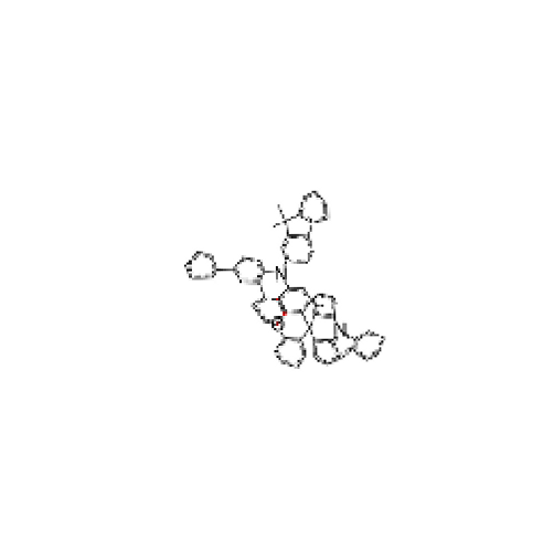 CC1(C)c2ccccc2-c2ccc(N(c3ccc4c(c3)Oc3ccccc3C43c4ccccc4-n4c5ccccc5c5cccc3c54)c3ccc(-c4ccccc4)cc3-c3ccccc3)cc21